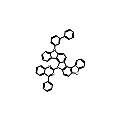 c1ccc(-c2cccc(-n3c4ccccc4c4c3ccc3c5c6c(ccc5n(-c5nc(-c7ccccc7)c7ccccc7n5)c34)oc3ccccc36)c2)cc1